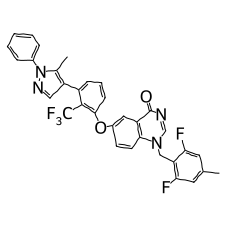 Cc1cc(F)c(Cn2cnc(=O)c3cc(Oc4cccc(-c5cnn(-c6ccccc6)c5C)c4C(F)(F)F)ccc32)c(F)c1